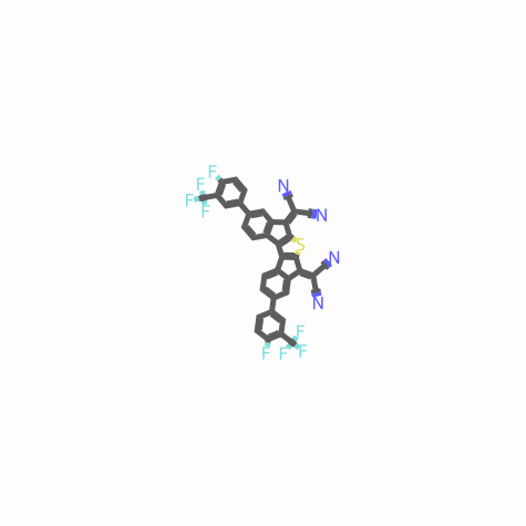 N#CC(C#N)=C1c2cc(-c3ccc(F)c(C(F)(F)F)c3)ccc2-c2c1sc1c2-c2ccc(-c3ccc(F)c(C(F)(F)F)c3)cc2C1=C(C#N)C#N